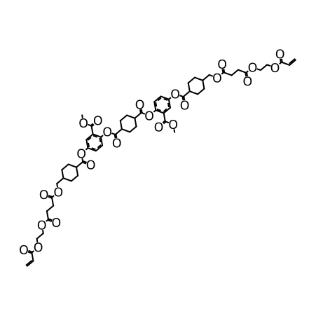 C=CC(=O)OCCOC(=O)CCC(=O)OCC1CCC(C(=O)Oc2ccc(OC(=O)C3CCC(C(=O)Oc4ccc(OC(=O)C5CCC(COC(=O)CCC(=O)OCCOC(=O)C=C)CC5)cc4C(=O)OC)CC3)c(C(=O)OC)c2)CC1